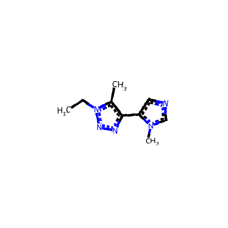 CCn1nnc(-c2cncn2C)c1C